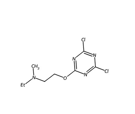 CCN(C)CCOc1nc(Cl)nc(Cl)n1